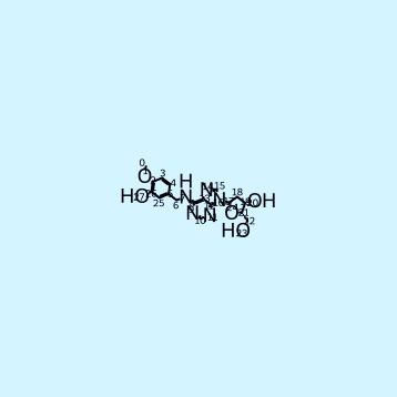 COc1ccc(CNc2ncnc3c2ncn3C2C[C@H](O)[C@@H](CO)O2)cc1O